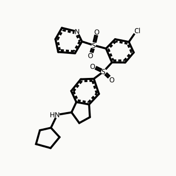 O=S(=O)(c1ccc2c(c1)CCC2NC1CCCC1)c1ccc(Cl)cc1S(=O)(=O)c1ccccn1